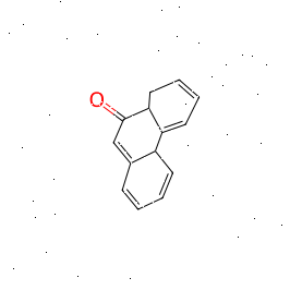 O=C1C=C2C=CC=CC2C2=CC=CCC12